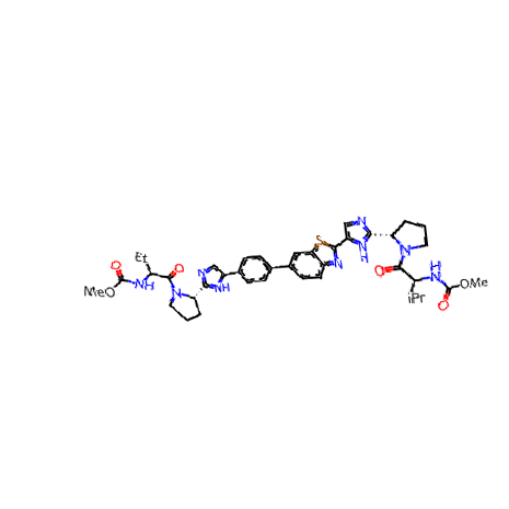 CC[C@H](NC(=O)OC)C(=O)N1CCC[C@H]1c1ncc(-c2ccc(-c3ccc4nc(-c5cnc([C@@H]6CCCN6C(=O)[C@@H](NC(=O)OC)C(C)C)[nH]5)sc4c3)cc2)[nH]1